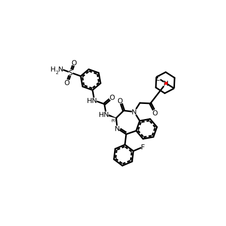 NS(=O)(=O)c1cccc(NC(=O)N[C@@H]2N=C(c3ccccc3F)c3ccccc3N(CC(=O)N3CC4CCC(CC4)C3)C2=O)c1